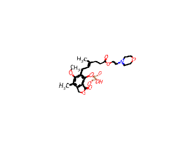 COc1c(C)c2c(c(OS(=O)(=O)O)c1C/C=C(\C)CCC(=O)OCCN1CCOCC1)C(=O)OC2